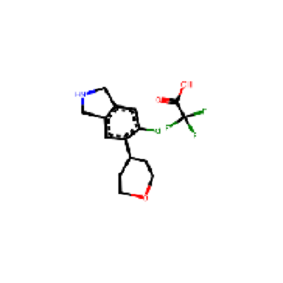 Clc1cc2c(cc1C1CCOCC1)CNC2.O=C(O)C(F)(F)F